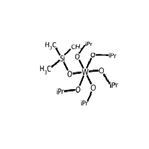 CC(C)[O][W]([O]C(C)C)([O]C(C)C)([O]C(C)C)([O]C(C)C)[O][Si](C)(C)C